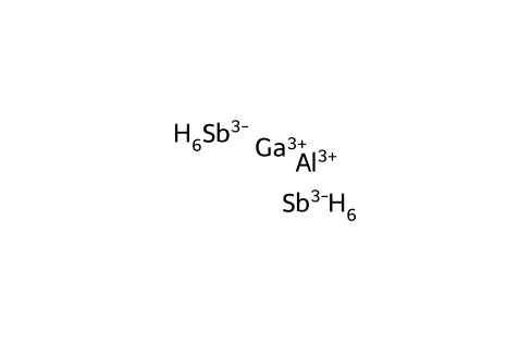 [Al+3].[Ga+3].[SbH6-3].[SbH6-3]